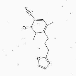 CC1=C(CCCc2ccco2)C(C)C(=O)C(C#N)=C1